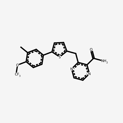 Cc1cc(-c2ccc(Cc3nccnc3C(N)=O)s2)ccc1OC(F)(F)F